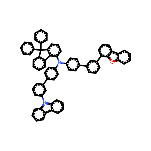 c1ccc(C2(c3ccccc3)c3ccccc3-c3c(N(c4ccc(-c5cccc(-c6cccc7c6oc6ccccc67)c5)cc4)c4ccc(-c5cccc(-n6c7ccccc7c7ccccc76)c5)cc4)cccc32)cc1